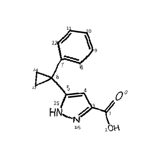 O=C(O)c1cc(C2(c3ccccc3)CC2)[nH]n1